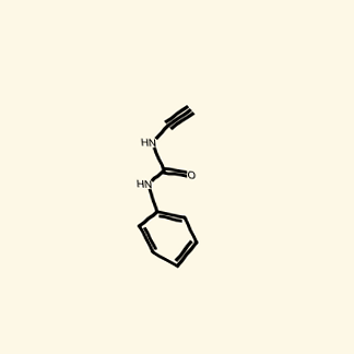 C#CNC(=O)Nc1ccccc1